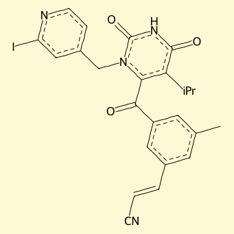 Cc1cc(/C=C/C#N)cc(C(=O)c2c(C(C)C)c(=O)[nH]c(=O)n2Cc2ccnc(I)c2)c1